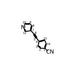 N#Cc1ccc(C#Cc2cccnc2)cc1